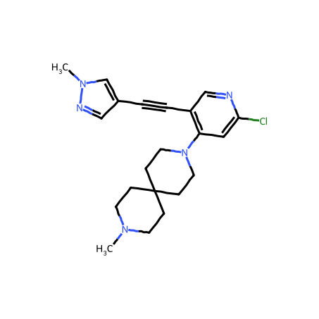 CN1CCC2(CC1)CCN(c1cc(Cl)ncc1C#Cc1cnn(C)c1)CC2